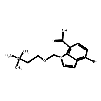 C[Si](C)(C)CCOCn1ccc2c(Br)ccc(C(=O)O)c21